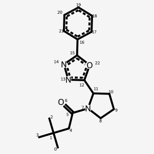 CC(C)(C)CC(=O)N1CCCC1c1nnc(-c2ccccc2)o1